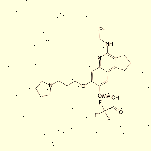 COc1cc2c3c(c(NCC(C)C)nc2cc1OCCCN1CCCC1)CCC3.O=C(O)C(F)(F)F